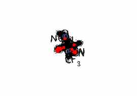 N#CC(C#N)=C1C2=CCC(C(F)(F)F)CC=C2C(=O)/C1=N\C1=CC2=C(c3sc4c(sc5cc(/N=C6/C(=O)C7=CCCC=C7C6=C(C#N)C#N)sc54)c3C2(C(=O)OCc2ccccc2)C(=O)OCc2ccccc2)C1(C(=O)OCc1ccccc1)C(=O)OCc1ccccc1